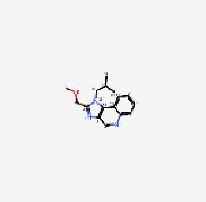 COCc1nc2cnc3ccccc3c2n1CC(C)C